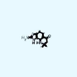 CC1(C)CC(=O)C2=C(N1)c1[nH]c(N)nc1CC2